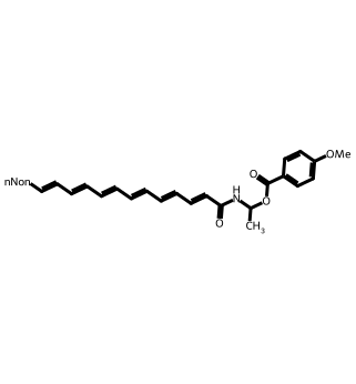 CCCCCCCCCC=CC=CC=CC=CC=CC=CC(=O)NC(C)OC(=O)c1ccc(OC)cc1